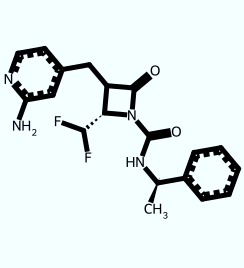 C[C@@H](NC(=O)N1C(=O)C(Cc2ccnc(N)c2)[C@H]1C(F)F)c1ccccc1